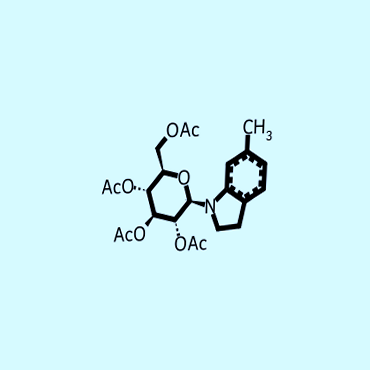 CC(=O)OC[C@H]1O[C@@H](N2CCc3ccc(C)cc32)[C@H](OC(C)=O)[C@@H](OC(C)=O)[C@@H]1OC(C)=O